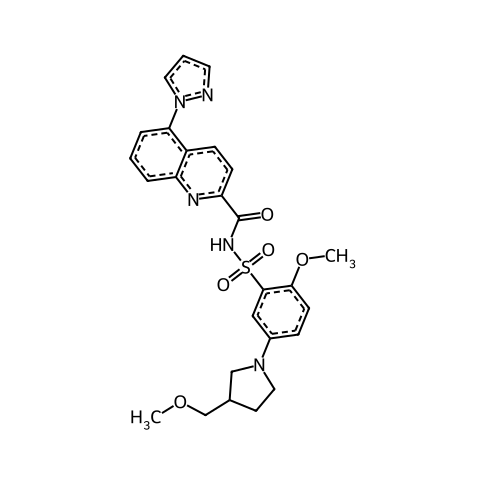 COCC1CCN(c2ccc(OC)c(S(=O)(=O)NC(=O)c3ccc4c(-n5cccn5)cccc4n3)c2)C1